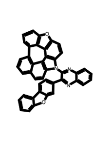 c1cc2c3c(c1)ccc1c3c3c4c(ccc3n1-c1nc3ccccc3nc1-c1ccc3c(c1)oc1ccccc13)oc1cccc-2c14